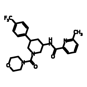 Cc1cccc(C(=O)NC2CC(c3ccc(C(F)(F)F)cc3)CN(C(=O)N3CCOCC3)C2)n1